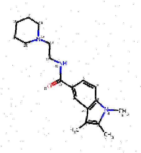 Cc1c(C)n(C)c2ccc(C(=O)NCCN3CCCCC3)cc12